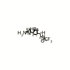 Br.Nc1nc(-c2ccc(CCNC(=O)C(F)(F)F)cc2)cs1